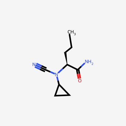 CCC[C@@H](C(N)=O)N(C#N)C1CC1